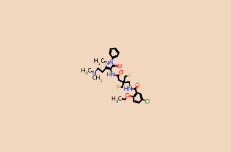 CCOc1ccc(Cl)cc1C(=O)NCC(CF)(CF)CC(=O)Nc1c(CCN(C)C)n(C)n(-c2ccccc2)c1=O